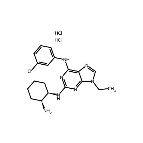 CCn1cnc2c(Nc3cccc(Cl)c3)nc(N[C@@H]3CCCC[C@@H]3N)nc21.Cl.Cl